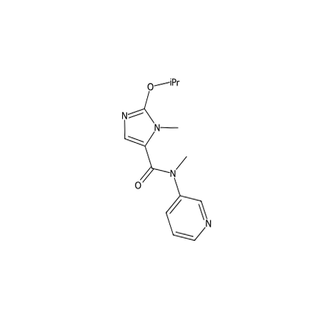 CC(C)Oc1ncc(C(=O)N(C)c2cccnc2)n1C